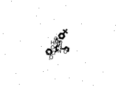 COc1cccc(Oc2c(Cl)nc(-c3ccco3)nc2NS(=O)(=O)c2ccc(C(C)(C)C)cc2)c1